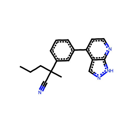 CCCC(C)(C#N)c1cccc(-c2ccnc3[nH]ncc23)c1